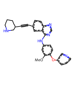 COc1cc(Nc2ncnc3ccc(C#CC4CCCNC4)cc23)ccc1Oc1cccnc1